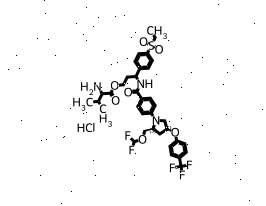 CCS(=O)(=O)c1ccc(C(CCOC(=O)C(N)C(C)C)NC(=O)c2ccc(N3C[C@@H](Oc4ccc(C(F)(F)F)cc4)C[C@H]3COC(F)F)cc2)cc1.Cl